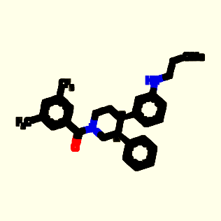 COCCNc1cccc([C@@H]2CCN(C(=O)c3cc(C(F)(F)F)cc(C(F)(F)F)c3)C[C@@H]2c2ccccc2)c1